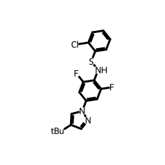 CC(C)(C)c1cnn(-c2cc(F)c(NSc3ccccc3Cl)c(F)c2)c1